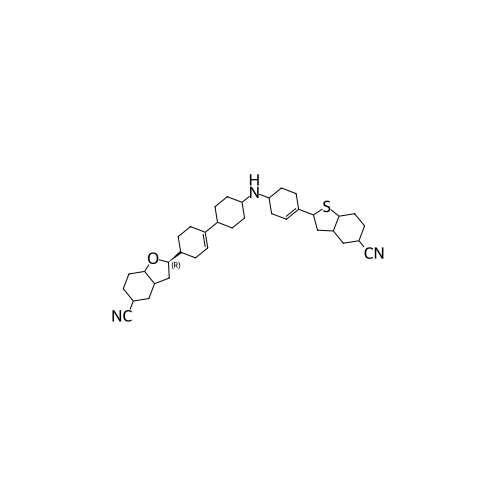 N#CC1CCC2O[C@@H](C3CC=C(C4CCC(NC5CC=C(C6CC7CC(C#N)CCC7S6)CC5)CC4)CC3)CC2C1